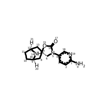 Nc1ccc(N2C[C@@]3(C[C@H]4CC[C@@H](C3)N4)OC2=O)cn1